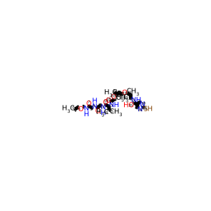 CCCOCNC(=O)CNC(=O)CNC(=O)C(NC(=O)COC(C)(C)CCOC(C)(C)CCNC(O)c1cnc(S)nc1)C(C)C